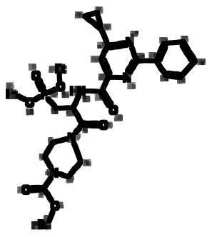 CCCCOC(=O)N1CCN(C(=O)C(CP(=O)(OCC)OCC)NC(=O)c2cc(C3CC3)nc(-c3ccccc3)n2)CC1